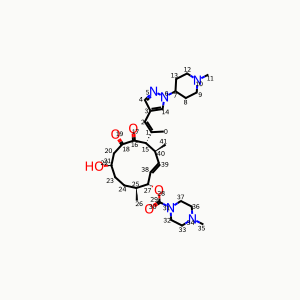 C/C(=C\c1cnn(C2CCN(C)CC2)c1)[C@H]1C(=O)C(=O)C[C@H](O)CC[C@H](C)[C@@H](OC(=O)N2CCN(C)CC2)/C=C/[C@@H]1C